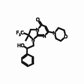 CC1(C(F)(F)F)Cn2c(nc(N3CCOCC3)cc2=O)N1CC(O)c1ccccc1